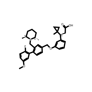 COc1ccc(F)c(-c2ccc(COc3cccc([C@H](CC(=O)O)C4(C)CC4)c3)cc2CN2[C@@H](C)CCC[C@@H]2C)c1